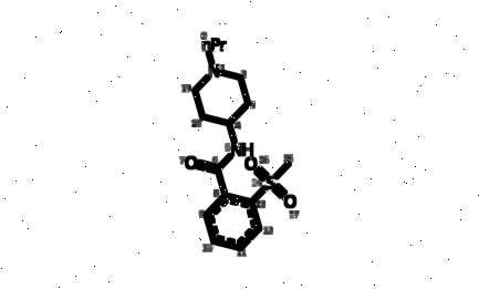 [CH2]CCN1CCC(NC(=O)c2ccccc2S(C)(=O)=O)CC1